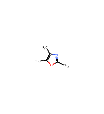 Cc1nc(C(F)(F)F)c(C(C)(C)C)o1